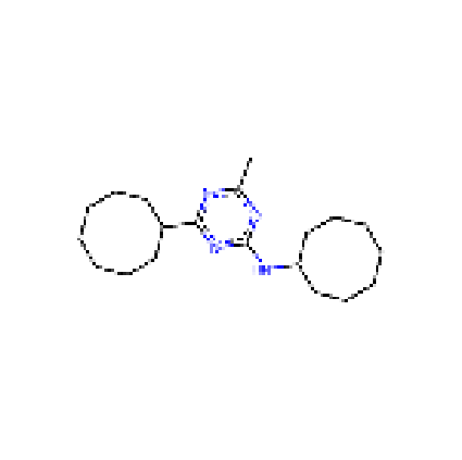 Cc1nc(NC2CCCCCCC2)nc(C2CCCCCCC2)n1